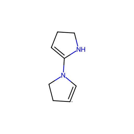 [C]1=CN(C2=CCCN2)CC1